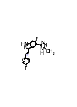 Cc1nnc(-c2cc3c(/C=C/c4ccc(F)cc4)n[nH]c3cc2F)[nH]1